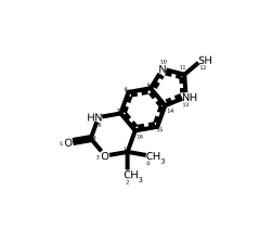 CC1(C)OC(=O)Nc2cc3nc(S)[nH]c3cc21